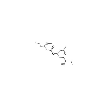 CCCC(CC(=O)OC(CCC(O)CC)CC(C)=O)OC